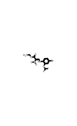 CCOC(=O)/C(=C/Nc1ccc(Br)cc1OC(F)F)[N+](=O)[O-]